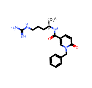 N=C(N)NCCC[C@H](NC(=O)c1ccc(=O)n(Cc2ccccc2)c1)C(=O)O